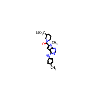 CCOC(=O)C1CCCN(C(=O)c2cc3c(Nc4ccc(C)cc4)ncnc3n2C)C1